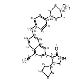 C#Cc1cc(N2C(=O)NCC2C2CCCC2)nc2nc(Nc3ccc(N4CCN(C)CC4)cc3)ncc12